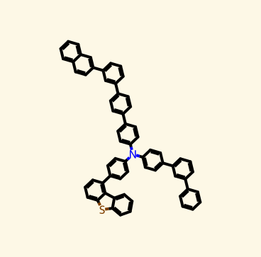 c1ccc(-c2cccc(-c3ccc(N(c4ccc(-c5ccc(-c6cccc(-c7ccc8ccccc8c7)c6)cc5)cc4)c4ccc(-c5cccc6sc7ccccc7c56)cc4)cc3)c2)cc1